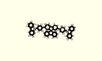 C1=C(C2=CC3=C(CC2)C2=CC=C(c4ccc(-n5c6ccccc6c6ccccc65)cc4)CC2C32c3ccccc3-c3ccccc32)CCC(n2c3ccccc3c3ccccc32)=C1